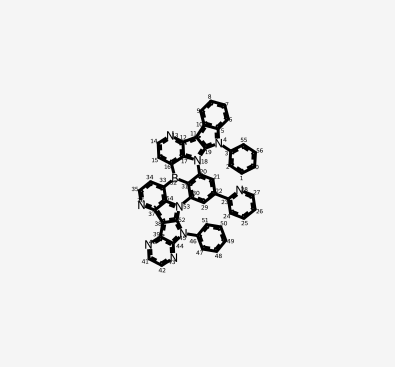 c1ccc(-n2c3ccccc3c3c4nccc5c4n(c32)-c2cc(-c3ccccn3)cc3c2B5c2ccnc4c5c6nccnc6n(-c6ccccc6)c5n-3c24)cc1